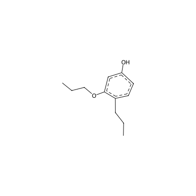 CCCOc1cc(O)ccc1CCC